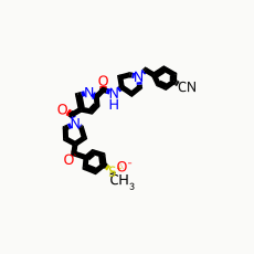 C[S+]([O-])c1ccc(C(=O)C2CCN(C(=O)c3ccc(C(=O)NC4CCN(Cc5ccc(C#N)cc5)CC4)nc3)CC2)cc1